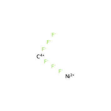 [C+4].[F-].[F-].[F-].[F-].[F-].[F-].[Ni+2]